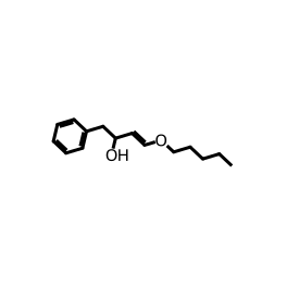 CCCCCO/C=C/C(O)Cc1ccccc1